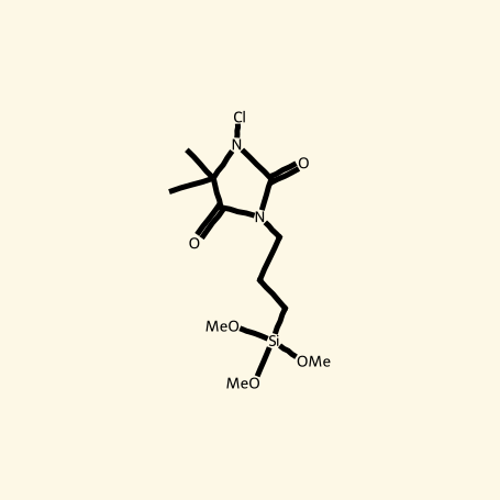 CO[Si](CCCN1C(=O)N(Cl)C(C)(C)C1=O)(OC)OC